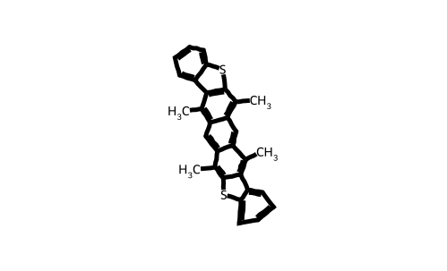 Cc1c2cc3c(C)c4c(sc5ccccc54)c(C)c3cc2c(C)c2c1sc1ccccc12